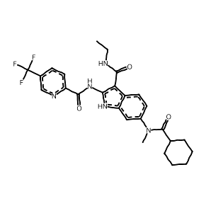 CCNC(=O)c1c(NC(=O)c2ccc(C(F)(F)F)cn2)[nH]c2cc(N(C)C(=O)C3CCCCC3)ccc12